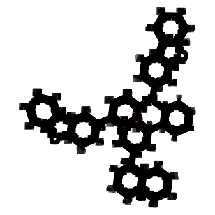 c1cc(-c2ccccc2N(c2ccc(-c3ccc4oc5ccccc5c4c3)cc2)c2ccc3c(c2)oc2ccccc23)cc(-c2cccc3ccccc23)c1